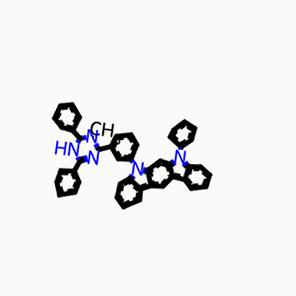 CN1C(c2cccc(-n3c4ccccc4c4cc5c6ccccc6n(-c6ccccc6)c5cc43)c2)N=C(c2ccccc2)NC1c1ccccc1